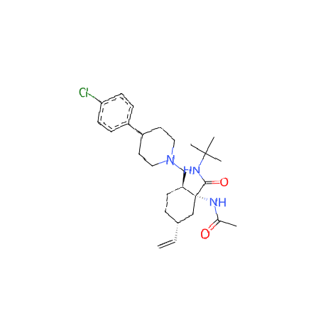 C=C[C@@H]1CC[C@@H](CN2CCC(c3ccc(Cl)cc3)CC2)[C@@](NC(C)=O)(C(=O)NC(C)(C)C)C1